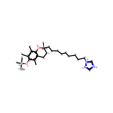 Cc1c(C)c2c(c(C)c1O[Si](C)(C)C(C)(C)C)CC[C@@](C)(CCCCCCCCCn1cncn1)O2